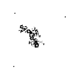 COc1cc(C(=O)NS(=O)(=O)c2ccccc2C)ccc1Cc1cn(C(=O)N2CCCC2)c2ccc(NC(=O)OC3CCCC3)cc12